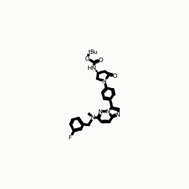 CN(Cc1cccc(F)c1)c1ccc2ncc(-c3ccc(N4C[C@@H](NC(=O)OC(C)(C)C)CC4=O)cc3)n2n1